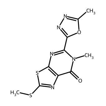 CSc1nc2c(=O)n(C)c(-c3nnc(C)o3)nc2s1